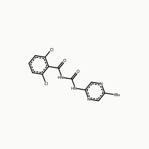 CC(C)(C)c1cnc(NC(=O)NC(=O)c2c(Cl)cccc2Cl)cn1